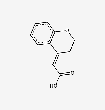 O=C(O)C=C1CCOc2ccccc21